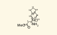 COC(=O)CC(N)c1ccc2c(c1)CCC2.Cl